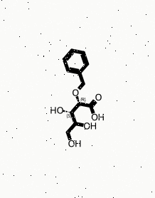 O=C(O)[C@H](OCc1ccccc1)[C@@H](O)C(O)CO